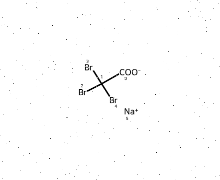 O=C([O-])C(Br)(Br)Br.[Na+]